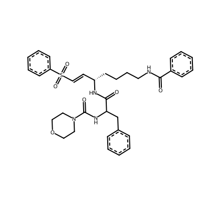 O=C(NCCCC[C@@H](/C=C/S(=O)(=O)c1ccccc1)NC(=O)C(Cc1ccccc1)NC(=O)N1CCOCC1)c1ccccc1